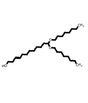 CCCCCCCCOC(CCCCCCC/C=C/CCO)OCCCCCCCC